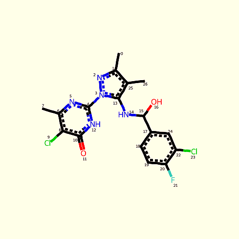 Cc1nn(-c2nc(C)c(Cl)c(=O)[nH]2)c(NC(O)c2ccc(F)c(Cl)c2)c1C